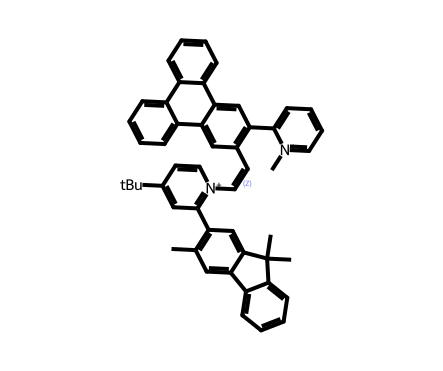 Cc1cc2c(cc1-c1cc(C(C)(C)C)cc[n+]1/C=C\c1cc3c4ccccc4c4ccccc4c3cc1-c1cccc[n+]1C)C(C)(C)c1ccccc1-2